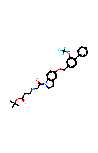 CC(C)(C)OC(=O)CCNCC(=O)N1CCc2cc(OCc3ccc(-c4ccccc4)c(OC(F)(F)F)c3)ccc21